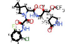 O=C(Nc1c(F)cccc1Cl)C(=O)N1CC2(CC2)C[C@H]1C(=O)N[C@@H](C[C@@H]1CCNC1=O)C(=O)COC(F)(F)F